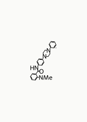 CNc1ccccc1C(=O)Nc1ccc(N2CCN(c3[c]cccc3)CC2)cc1